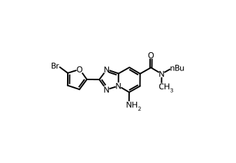 CCCCN(C)C(=O)c1cc(N)n2nc(-c3ccc(Br)o3)nc2c1